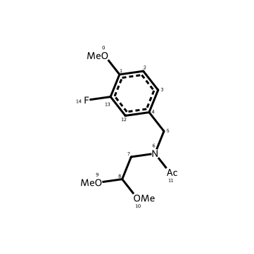 COc1ccc(CN(CC(OC)OC)C(C)=O)cc1F